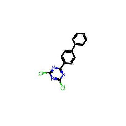 Clc1nc(Cl)nc(-c2ccc(-c3ccccc3)cc2)n1